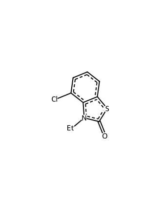 [CH2]Cn1c(=O)sc2cccc(Cl)c21